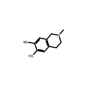 CN1CCc2cc(O)c(C(C)(C)C)cc2C1